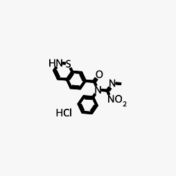 CN=C(N(C(=O)c1ccc2c(c1)SNC=C2)c1ccccc1)[N+](=O)[O-].Cl